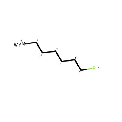 CNCCCCCCF